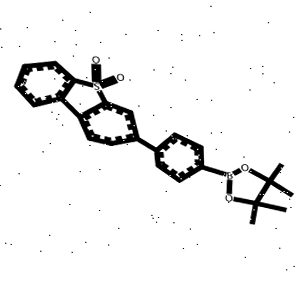 CC1(C)OB(c2ccc(-c3ccc4c(c3)S(=O)(=O)c3ccccc3-4)cc2)OC1(C)C